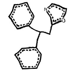 c1ccc(C(Cc2ncco2)c2ccccc2)cc1